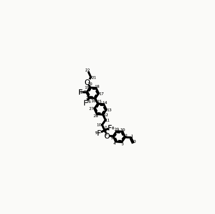 C=Cc1ccc(OC(F)(F)CCc2ccc(-c3ccc(OCC)c(F)c3F)cc2)cc1